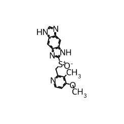 COc1ccnc(C[S+]([O-])c2nc3cc4[nH]cnc4cc3[nH]2)c1C